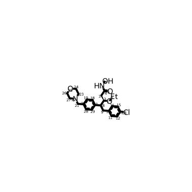 CCO[C@H](CC(=O)NO)C(Cc1ccc(Cl)cc1)c1ccc(CN2CCOCC2)cc1